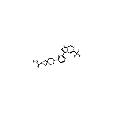 O=C(O)N1CC2(CCN(c3ccnc(-c4cnc5cnc(C(F)(F)F)cn45)n3)CC2)C1